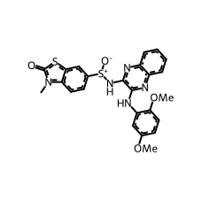 COc1ccc(OC)c(Nc2nc3ccccc3nc2N[S+]([O-])c2ccc3c(c2)sc(=O)n3C)c1